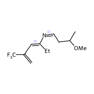 C=C(/C=C(CC)/N=C\CC(C)OC)C(F)(F)F